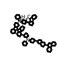 CC1(C)c2ccccc2-c2cccc(-c3ccc(N(c4ccccc4)c4ccc5c(c4)C(c4ccccc4)(c4cccc(-c6cccc(N(c7ccccc7)c7ccc(-c8ccc9cc(-c%10cc%11ccccc%11c%11ccccc%10%11)ccc9c8)cc7)c6)c4)c4ccccc4-5)cc3)c21